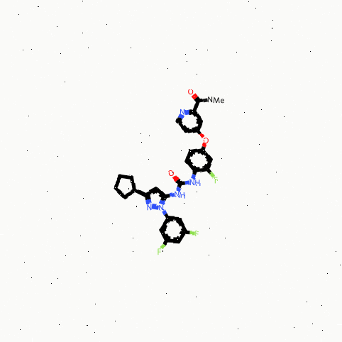 CNC(=O)c1cc(Oc2ccc(NC(=O)Nc3cc(C4CCCC4)nn3-c3cc(F)cc(F)c3)c(F)c2)ccn1